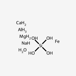 O.O[Si](O)(O)O.[AlH3].[CaH2].[Fe].[MgH2].[NaH]